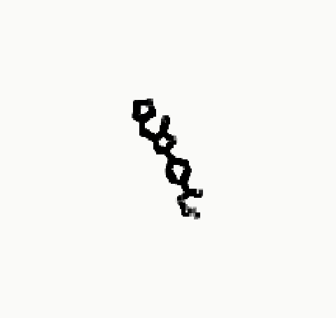 COC(=O)c1ccc(C2=N/C(=C/c3ccsc3)C(=O)O2)cc1